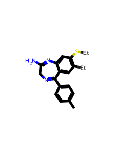 CCSc1cc2c(cc1CC)C(c1ccc(C)cc1)=NCC(N)=N2